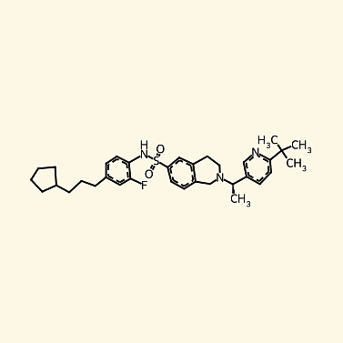 C[C@H](c1ccc(C(C)(C)C)nc1)N1CCc2cc(S(=O)(=O)Nc3ccc(CCCC4CCCC4)cc3F)ccc2C1